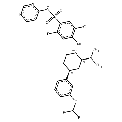 CN(C)[C@H]1C[C@@H](c2cccc(OC(F)F)c2)CC[C@@H]1Nc1cc(F)c(S(=O)(=O)Nc2ccncn2)cc1Cl